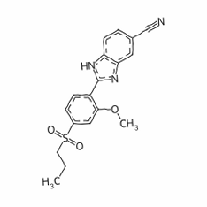 CCCS(=O)(=O)c1ccc(-c2nc3cc(C#N)ccc3[nH]2)c(OC)c1